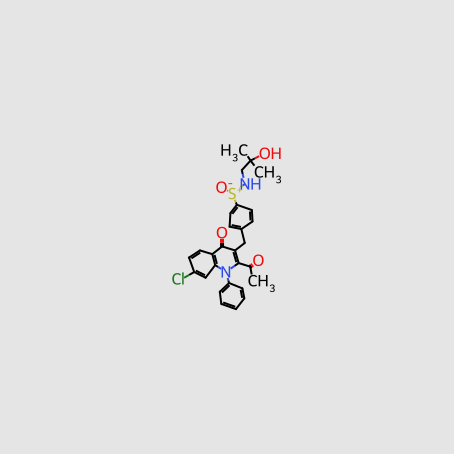 CC(=O)c1c(Cc2ccc([S+]([O-])NCC(C)(C)O)cc2)c(=O)c2ccc(Cl)cc2n1-c1ccccc1